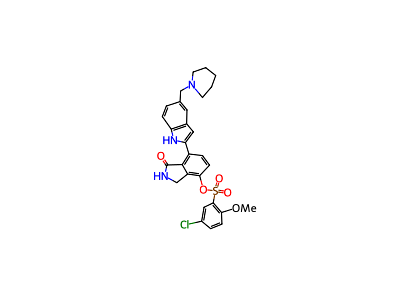 COc1ccc(Cl)cc1S(=O)(=O)Oc1ccc(-c2cc3cc(CN4CCCCC4)ccc3[nH]2)c2c1CNC2=O